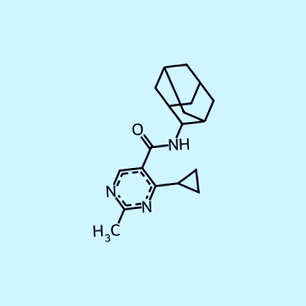 Cc1ncc(C(=O)NC2C3CC4CC(C3)CC2C4)c(C2CC2)n1